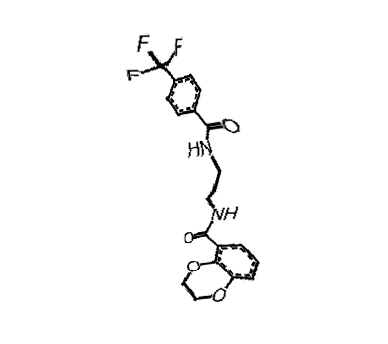 O=C(NCCNC(=O)c1cccc2c1OCCO2)c1ccc(C(F)(F)F)cc1